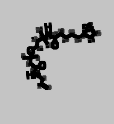 C=CCNC(=O)CC(C)(C)OCCC(C)(C)NC(=O)CCCC[C@@H]1CCSS1